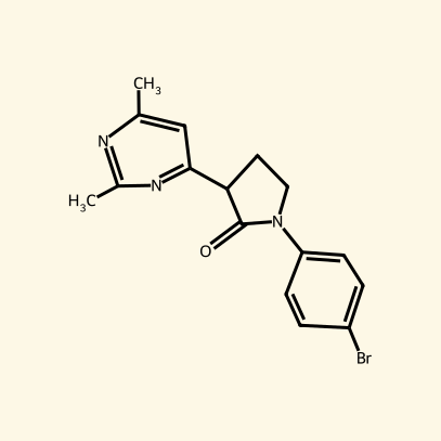 Cc1cc(C2CCN(c3ccc(Br)cc3)C2=O)nc(C)n1